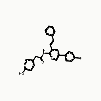 O=C(Cc1ccc(O)cc1)Nc1ncc(-c2ccc(F)cc2)nc1/C=C/c1ccccc1